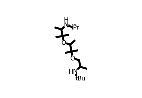 CC(C)NC(C)C(C)(C)OC(C)C(C)(C)OCC(C)NC(C)(C)C